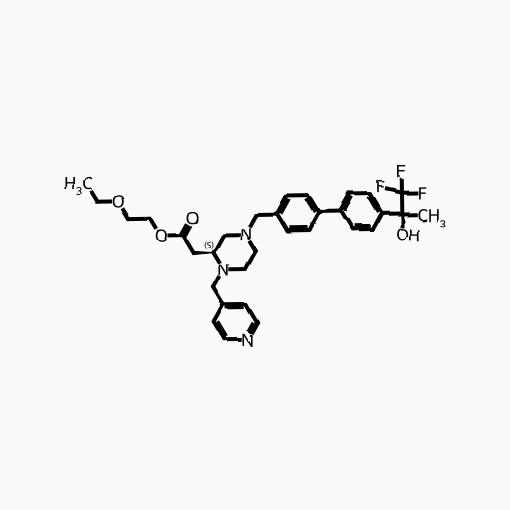 CCOCCOC(=O)C[C@H]1CN(Cc2ccc(-c3ccc(C(C)(O)C(F)(F)F)cc3)cc2)CCN1Cc1ccncc1